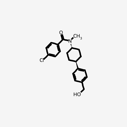 CN(C(=O)c1ccc(Cl)cc1)[C@H]1CC[C@H](c2ccc(CO)cc2)CC1